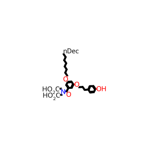 CCCCCCCCCCCCCCCCCCOc1cc(OCCCc2ccc(O)cc2)cc(C(=O)N(CC(=O)O)CC(=O)O)c1